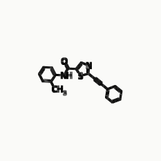 Cc1ccccc1NC(=O)c1cnc(C#Cc2ccccc2)s1